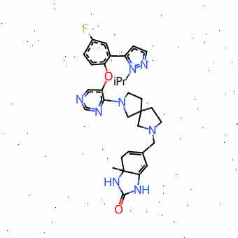 CC(C)n1nccc1-c1cc(F)ccc1Oc1cncnc1N1CCC2(CCN(CC3=CCC4(C)NC(=O)NC4=C3)C2)C1